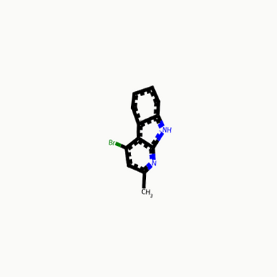 Cc1cc(Br)c2c(n1)[nH]c1ccccc12